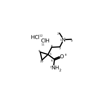 CN(C)CCC1(C(N)=O)CC1.Cl.Cl